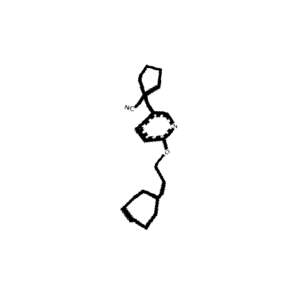 N#CC1(c2ccc(OCCC3CCCCC3)nc2)CCCC1